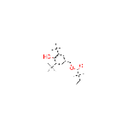 CCC(C)(C)C(=O)OCc1cc(C(C)(C)C)c(O)c(C(C)(C)C)c1